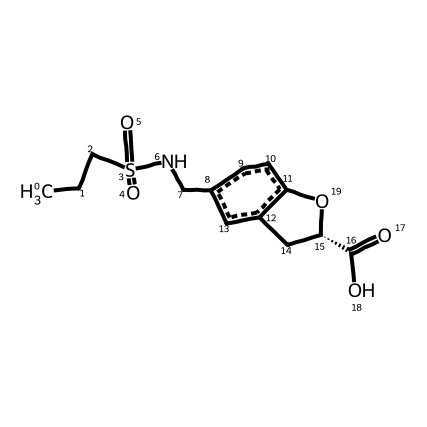 CCCS(=O)(=O)NCc1ccc2c(c1)C[C@@H](C(=O)O)O2